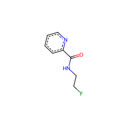 O=C(NCCF)c1ccccn1